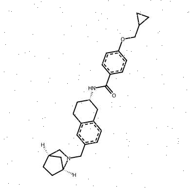 O=C(N[C@H]1CCc2cc(CN3C[C@@H]4CC[C@H]3C4)ccc2C1)c1ccc(OCC2CC2)cc1